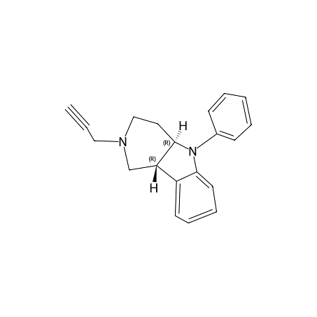 C#CCN1CC[C@@H]2[C@@H](C1)c1ccccc1N2c1ccccc1